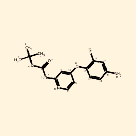 CC(C)(C)OC(=O)Nc1cc(Oc2ccc(N)cc2F)ccn1